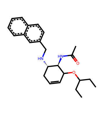 CCC(CC)OC1C=CC[C@H](NCc2ccc3ccccc3c2)[C@H]1NC(C)=O